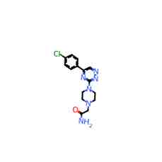 NC(=O)CN1CCN(c2nncc(-c3ccc(Cl)cc3)n2)CC1